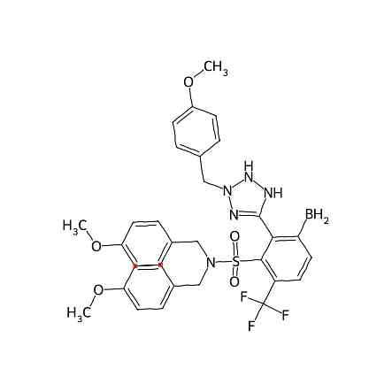 Bc1ccc(C(F)(F)F)c(S(=O)(=O)N(Cc2ccc(OC)cc2)Cc2ccc(OC)cc2)c1C1=NN(Cc2ccc(OC)cc2)NN1